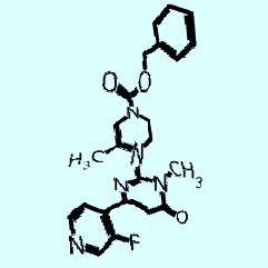 C[C@H]1CN(C(=O)OCc2ccccc2)CCN1c1nc(-c2ccncc2F)cc(=O)n1C